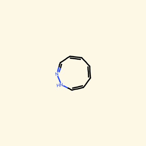 c1cccn[nH]ccc1